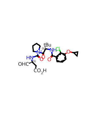 CC(C)(C)[C@H](NC(=O)c1cccc(OC2CC2)c1Cl)C(=O)[N+]1(C(=O)N[C@H](C=O)CC(=O)O)CCCC1